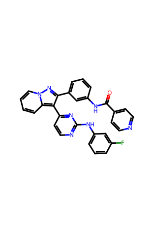 O=C(Nc1cccc(-c2nn3ccccc3c2-c2ccnc(Nc3cccc(F)c3)n2)c1)c1ccncc1